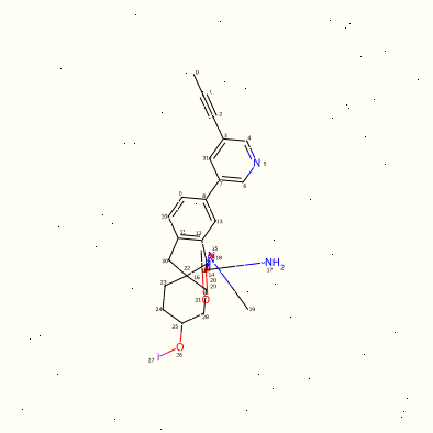 CC#Cc1cncc(-c2ccc3c(c2)C2(N=C(N)N(C)C2=O)C2(CCC(OI)CC2)C3)c1